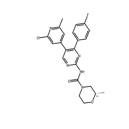 Cc1cc(-c2cnc(NC(=O)N3CCO[C@@H](C)C3)nc2-c2ccc(F)cc2)cc(Cl)n1